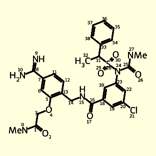 CNC(=O)COc1cc(C(=N)N)ccc1CNC(=O)c1cc(Cl)cc(N(C(=O)NC)S(=O)(=O)C(C)c2ccccc2)c1